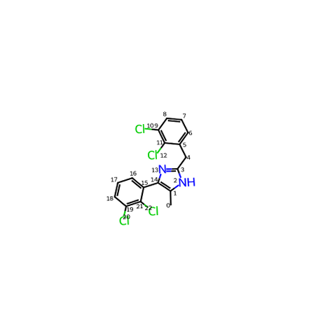 Cc1[nH]c(Cc2cccc(Cl)c2Cl)nc1-c1cccc(Cl)c1Cl